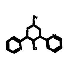 CCN1C(c2ccccn2)CN(C(C)C)CC1c1ccccn1